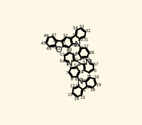 c1ccc(S(c2cccc(-n3c4ccccc4c4ccccc43)c2)(c2cccc(-n3c4ccccc4c4cc5c(cc43)oc3ccccc35)c2)c2ccccn2)nc1